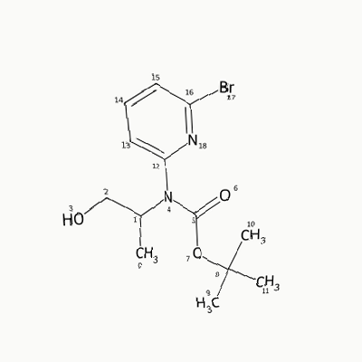 CC(CO)N(C(=O)OC(C)(C)C)c1cccc(Br)n1